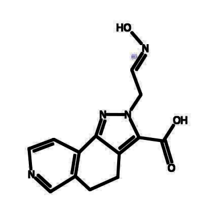 O=C(O)c1c2c(nn1C/C=N/O)-c1ccncc1CC2